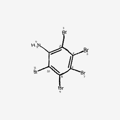 Nc1c(Br)c(Br)c(Br)c(Br)c1Br